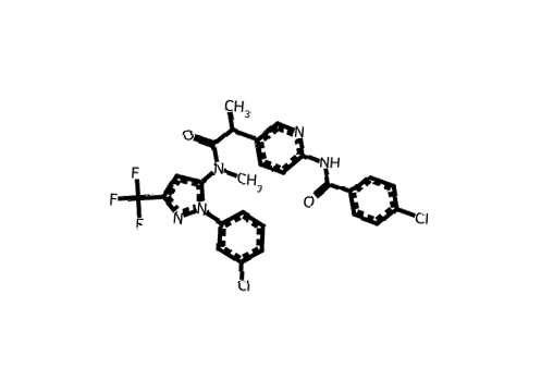 CC(C(=O)N(C)c1cc(C(F)(F)F)nn1-c1cccc(Cl)c1)c1ccc(NC(=O)c2ccc(Cl)cc2)nc1